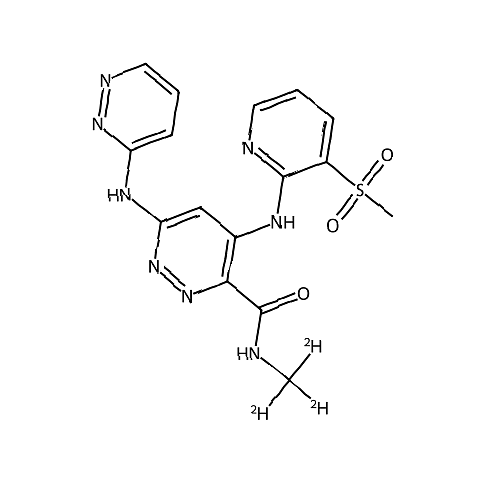 [2H]C([2H])([2H])NC(=O)c1nnc(Nc2cccnn2)cc1Nc1ncccc1S(C)(=O)=O